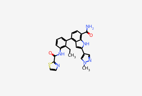 CCc1c(NC(=O)c2nccs2)cccc1-c1ccc(C(N)=O)c2[nH]c(-c3cnn(C)c3)cc12